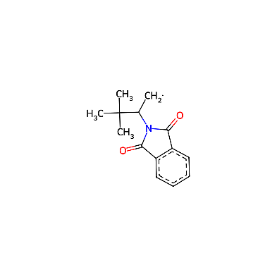 [CH2]C(N1C(=O)c2ccccc2C1=O)C(C)(C)C